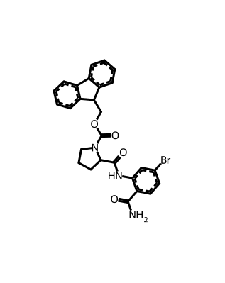 NC(=O)c1ccc(Br)cc1NC(=O)C1CCCN1C(=O)OCC1c2ccccc2-c2ccccc21